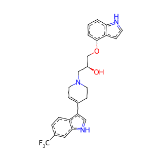 O[C@H](COc1cccc2[nH]ccc12)CN1CC=C(c2c[nH]c3cc(C(F)(F)F)ccc23)CC1